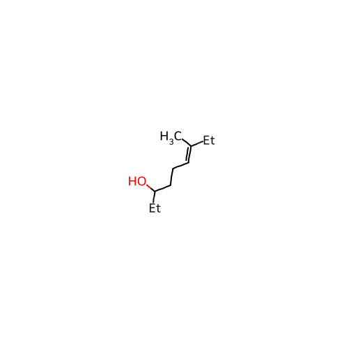 CCC(C)=CCCC(O)CC